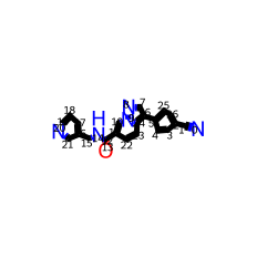 N#Cc1ccc(-c2cnn3cc(C(=O)NCc4cccnc4)ccc23)cc1